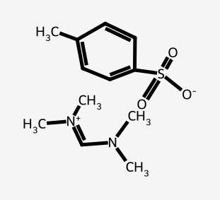 CN(C)C=[N+](C)C.Cc1ccc(S(=O)(=O)[O-])cc1